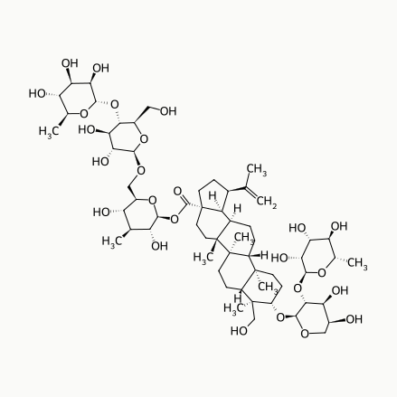 C=C(C)[C@@H]1CC[C@]2(C(=O)O[C@@H]3O[C@H](CO[C@@H]4O[C@H](CO)[C@@H](O[C@@H]5O[C@@H](C)[C@H](O)[C@@H](O)[C@H]5O)[C@H](O)[C@H]4O)[C@@H](O)[C@H](C)[C@H]3O)CC[C@]3(C)[C@H](CC[C@@H]4[C@@]5(C)CC[C@H](O[C@@H]6OC[C@H](O)[C@H](O)[C@H]6O[C@@H]6O[C@@H](C)[C@H](O)[C@@H](O)[C@H]6O)[C@@](C)(CO)[C@@H]5CC[C@]43C)[C@H]12